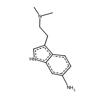 CN(C)CCc1c[nH]c2cc(N)ccc12